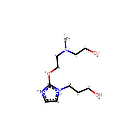 CCCN(CCO)CCOc1nccn1CCCO